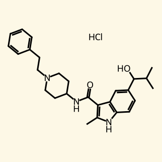 Cc1[nH]c2ccc(C(O)C(C)C)cc2c1C(=O)NC1CCN(CCc2ccccc2)CC1.Cl